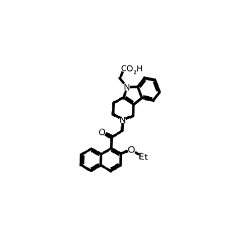 CCOc1ccc2ccccc2c1C(=O)CN1CCc2c(c3ccccc3n2CC(=O)O)C1